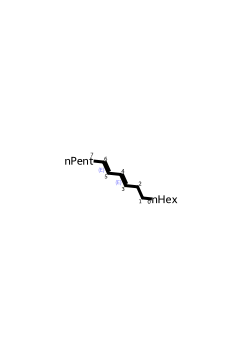 [CH2]CCCCCCC/C=C/C=C/CCCCC